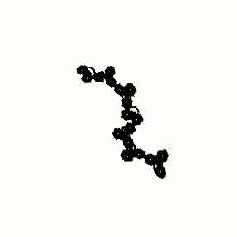 c1ccc(-n2c3ccccc3c3cc(-c4ccc5c(c4)c4ccccc4n5-c4ccc5c(c4)c4ccccc4n5-c4ccc(-c5cccc6oc7c(-c8ccc(-n9c%10ccccc%10c%10cc(-c%11ccc%12c(c%11)c%11ccccc%11n%12-c%11ccc(-c%12cccc%13c%12oc%12ccccc%12%13)cc%11)ccc%109)cc8)cccc7c56)cc4)ccc32)cc1